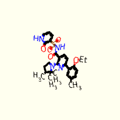 CCOc1ccc(C)cc1-c1ccc(C(=O)NS(=O)(=O)c2ccc[nH]c2=O)c(N2CCC(C)C2(C)C)n1